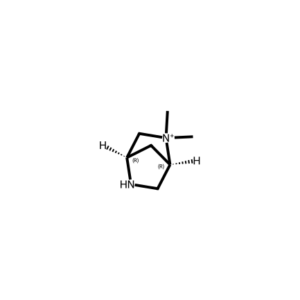 C[N+]1(C)C[C@H]2C[C@@H]1CN2